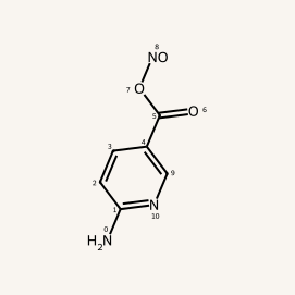 Nc1ccc(C(=O)ON=O)cn1